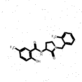 O=C(NC1CCN(Cc2ccccc2C(F)(F)F)C1=O)c1cc(C(F)(F)F)ccc1O